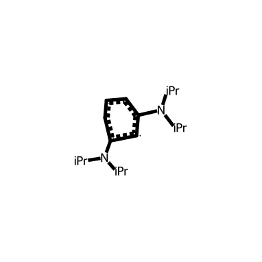 CC(C)N(c1[c]c(N(C(C)C)C(C)C)ccc1)C(C)C